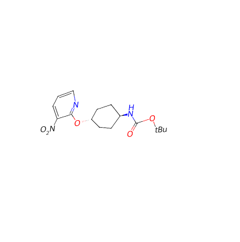 CC(C)(C)OC(=O)N[C@H]1CC[C@H](Oc2ncccc2[N+](=O)[O-])CC1